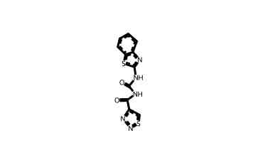 O=C(NC(=O)c1csnn1)Nc1nc2ccccc2s1